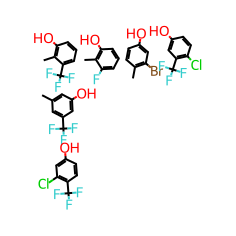 Cc1c(O)cccc1C(F)(F)F.Cc1c(O)cccc1F.Cc1cc(O)cc(C(F)(F)F)c1.Cc1ccc(O)cc1Br.Oc1ccc(C(F)(F)F)c(Cl)c1.Oc1ccc(Cl)c(C(F)(F)F)c1